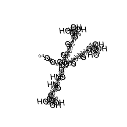 CCCOCCOCCC(=O)CC(COCCC(=O)CCCCCC(=O)CCCCOC1OC(CO)C(O)C(O)C1C)(COCCC(=O)CCCCCC(=O)CCCCOC1OC(CO)C(O)C(O)C1C)COCCC(=O)NCCCNC(=O)CCCCOC1OC(CO)C(O)C(O)C1C